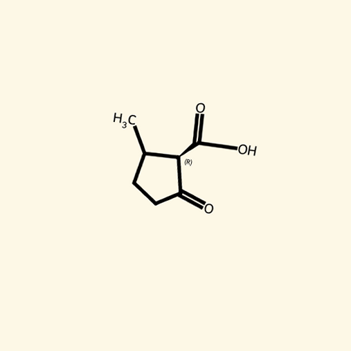 CC1CCC(=O)[C@@H]1C(=O)O